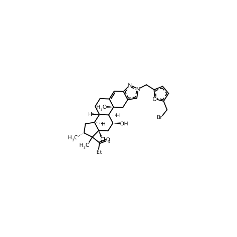 CCC(=O)C1(C)[C@H](C)C[C@H]2[C@@H]3CCC4=Cc5nn(Cc6ccc(CBr)o6)cc5C[C@]4(C)[C@H]3[C@@H](O)C[C@@]21C